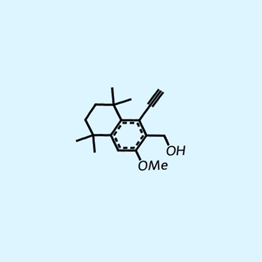 C#Cc1c(CO)c(OC)cc2c1C(C)(C)CCC2(C)C